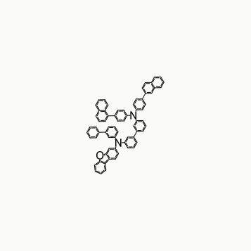 c1ccc(-c2cccc(N(c3cccc(-c4cccc(N(c5ccc(-c6ccc7ccccc7c6)cc5)c5ccc(-c6cccc7ccccc67)cc5)c4)c3)c3ccc4c(c3)oc3ccccc34)c2)cc1